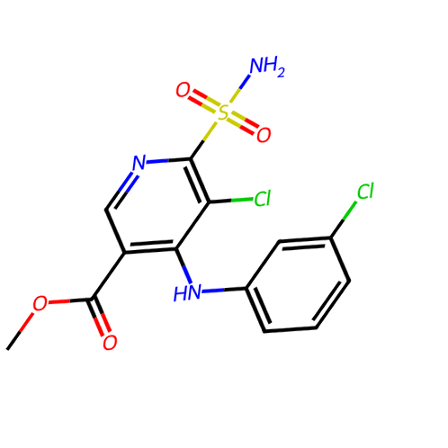 COC(=O)c1cnc(S(N)(=O)=O)c(Cl)c1Nc1cccc(Cl)c1